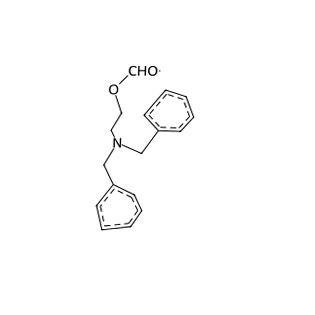 O=[C]OCCN(Cc1ccccc1)Cc1ccccc1